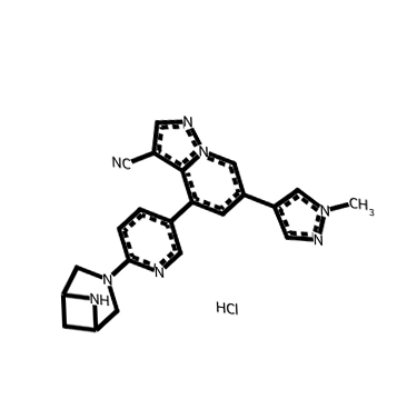 Cl.Cn1cc(-c2cc(-c3ccc(N4CC5CC(C4)N5)nc3)c3c(C#N)cnn3c2)cn1